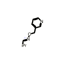 CC(C)/C=N/OCc1cccnc1